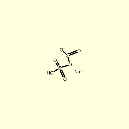 O=S([O-])OS(=O)(=O)O.[Na+]